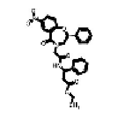 CCOC(=O)CC(NC(=O)CN1C[C@H](c2ccccc2)Oc2ccc([N+](=O)[O-])cc2C1=O)c1ccccc1